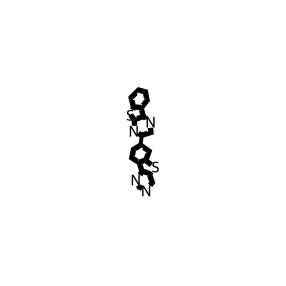 c1ccc2c(c1)sc1nc(-c3ccc4c(c3)sc3cncnc34)cnc12